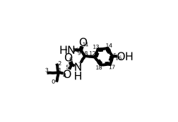 CC(C)(C)OC(=O)NC(C([NH])=O)c1ccc(O)cc1